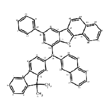 CC1(C)c2ccccc2-c2ccc(N(c3ccc4ccccc4c3)c3cc(-c4ccccc4)cc4c3oc3c5ccccc5ccc43)cc21